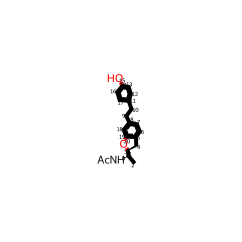 CC(=O)N[C@@H](C)[C@@H]1Cc2ccc(CCc3ccc(O)cc3)cc2O1